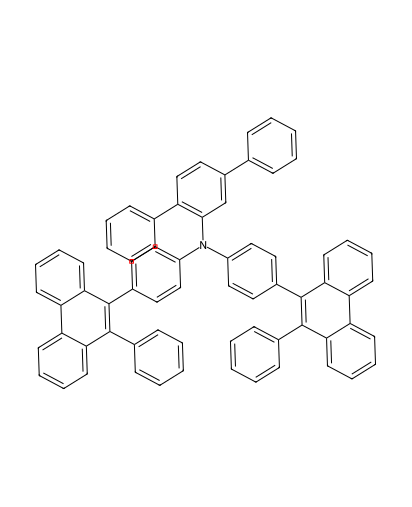 c1ccc(-c2ccc(-c3ccccc3)c(N(c3ccc(-c4c(-c5ccccc5)c5ccccc5c5ccccc45)cc3)c3ccc(-c4c(-c5ccccc5)c5ccccc5c5ccccc45)cc3)c2)cc1